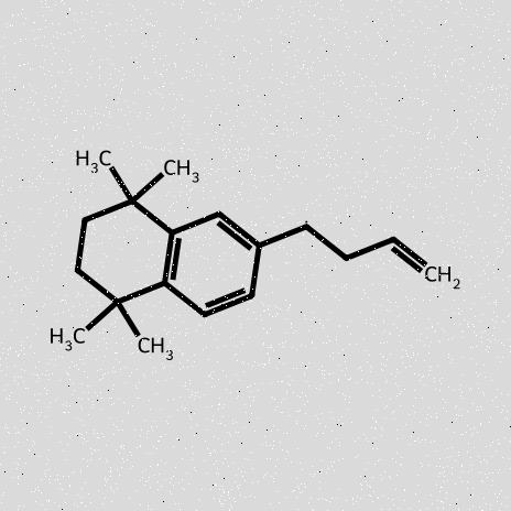 C=CC[CH]c1ccc2c(c1)C(C)(C)CCC2(C)C